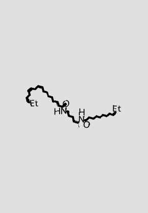 CC/C=C\C/C=C\C/C=C\CCCCCCCC(=O)NCCCC[C@@H](C)NC(=O)CCCCCCC/C=C\CC